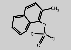 Cc1ccc2ccccc2c1OP(=O)(Cl)Cl